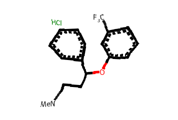 CNCCC(Oc1cccc(C(F)(F)F)c1)c1ccccc1.Cl